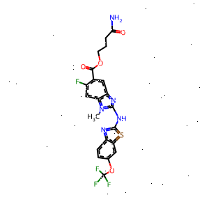 Cn1c(Nc2nc3ccc(OC(F)(F)F)cc3s2)nc2cc(C(=O)OCCCC(N)=O)c(F)cc21